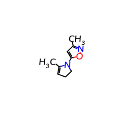 CC1=CCCN1c1cc(C)no1